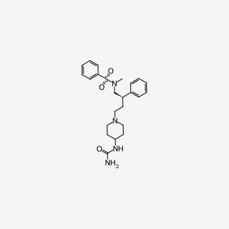 CN(C[C@H](CCN1CCC(NC(N)=O)CC1)c1ccccc1)S(=O)(=O)c1ccccc1